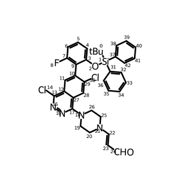 CC(C)(C)[Si](Oc1cccc(F)c1-c1cc2c(Cl)nnc(N3CCN(C=CC=O)CC3)c2cc1Cl)(c1ccccc1)c1ccccc1